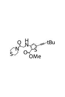 COC(=O)c1sc(C#CC(C)(C)C)cc1NCC(=O)N1CCSCC1